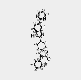 O=C1OC2(CCC(c3nc4cc(-c5ncccn5)ccc4[nH]3)CC2)CN1c1ccccc1F